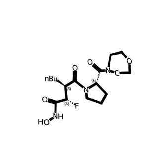 CCCC[C@@H](C(=O)N1CCC[C@H]1C(=O)N1CCOCC1)[C@H](F)C(=O)NO